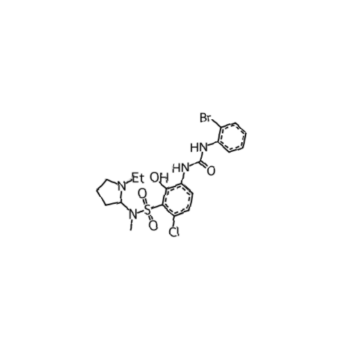 CCN1CCCC1N(C)S(=O)(=O)c1c(Cl)ccc(NC(=O)Nc2ccccc2Br)c1O